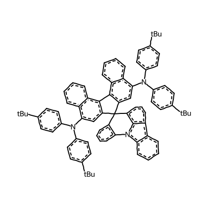 CC(C)(C)c1ccc(N(c2ccc(C(C)(C)C)cc2)c2cc3c(c4ccccc24)-c2c(cc(N(c4ccc(C(C)(C)C)cc4)c4ccc(C(C)(C)C)cc4)c4ccccc24)C32c3ccccc3-n3c4ccccc4c4cccc2c43)cc1